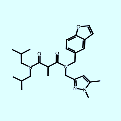 Cc1cc(CN(Cc2ccc3occc3c2)C(=O)C(C)C(=O)N(CC(C)C)CC(C)C)nn1C